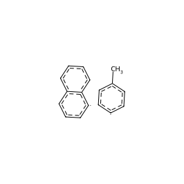 Cc1cc[c]cc1.[c]1cccc2ccccc12